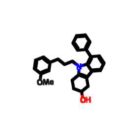 COc1cccc(CCCn2c3c(c4cccc(-c5ccccc5)c42)CC(O)CC3)c1